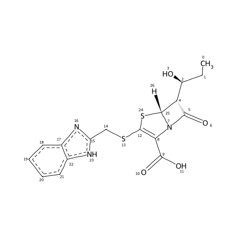 CC[C@H](O)[C@@H]1C(=O)N2C(C(=O)O)=C(SCc3nc4ccccc4[nH]3)S[C@H]12